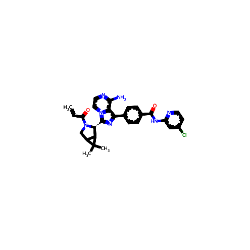 C=CC(=O)N1CC2C([C@H]1c1nc(-c3ccc(C(=O)Nc4cc(Cl)ccn4)cc3)c3c(N)nccn13)C2(C)C